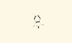 Cn1c(=O)n(C)c2cc(F)c(N)cc21